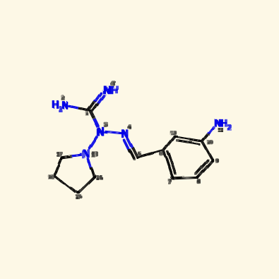 N=C(N)N(N=Cc1cccc(N)c1)N1CCCC1